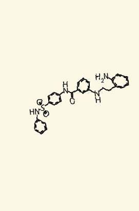 Nc1ccccc1CCNc1cccc(C(=O)Nc2ccc(S(=O)(=O)Nc3ccccc3)cc2)c1